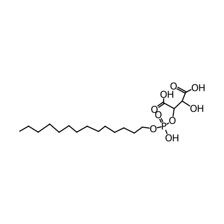 CCCCCCCCCCCCCCOP(=O)(O)OC(C(=O)O)C(O)C(=O)O